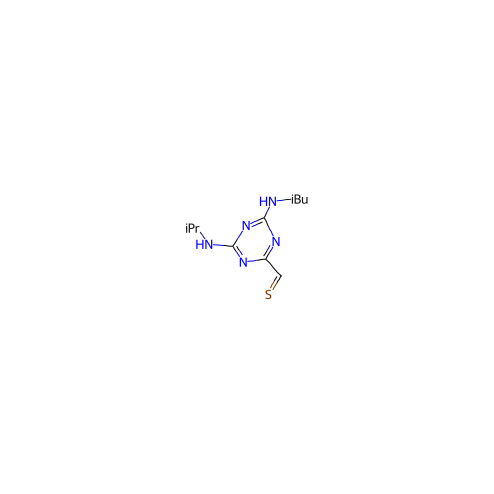 CCC(C)Nc1nc(C=S)nc(NC(C)C)n1